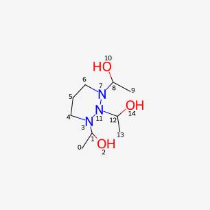 CC(O)N1CCCN(C(C)O)N1C(C)O